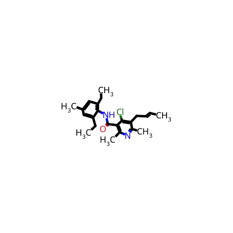 CC=CCc1c(C)nc(C)c(C(=O)Nc2c(CC)cc(C)cc2CC)c1Cl